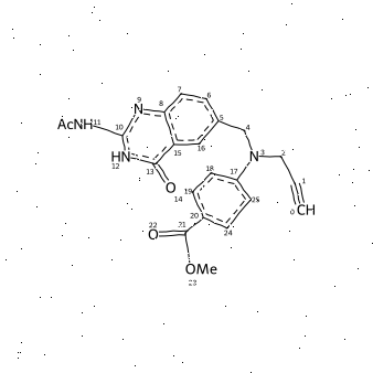 C#CCN(Cc1ccc2nc(NC(C)=O)[nH]c(=O)c2c1)c1ccc(C(=O)OC)cc1